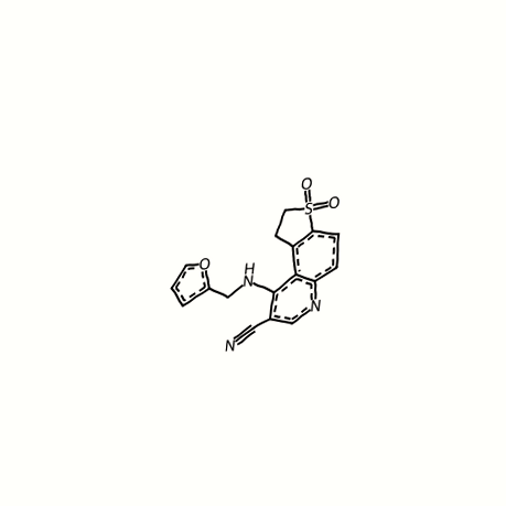 N#Cc1cnc2ccc3c(c2c1NCc1ccco1)CCS3(=O)=O